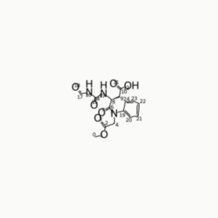 COC(=O)CN(C(=O)[C@H](CC(=O)O)NC(=O)NC=O)c1ccccc1